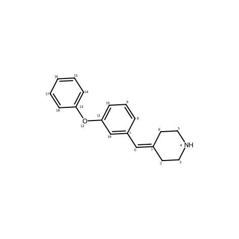 C(=C1CCNCC1)c1cccc(Oc2ccccc2)c1